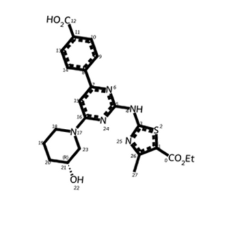 CCOC(=O)c1sc(Nc2nc(-c3ccc(C(=O)O)cc3)cc(N3CCC[C@@H](O)C3)n2)nc1C